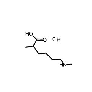 CNCCCCC(C)C(=O)O.Cl